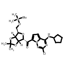 CC1(C)O[C@@H]2[C@H](O1)[C@@H](CO[Si](C)(C)C(C)(C)C)O[C@@H]2C(=O)c1ccc2c(NC3CCCC3)nc(Cl)nn12